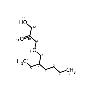 CCCCC(CC)COCC(=O)CO